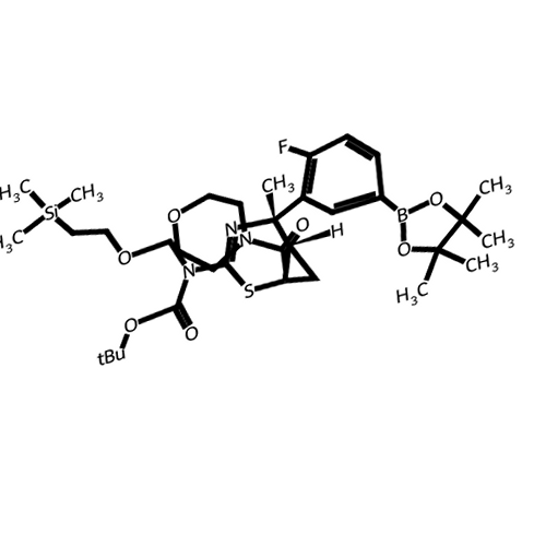 CC(C)(C)OC(=O)N(COCC[Si](C)(C)C)C1=N[C@](C)(c2cc(B3OC(C)(C)C(C)(C)O3)ccc2F)[C@@H]2C[C@]2(C(=O)N2CCOCC2)S1